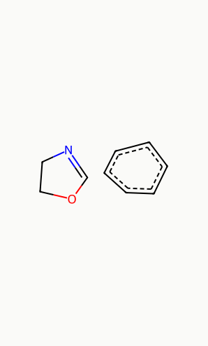 C1=NCCO1.c1ccccc1